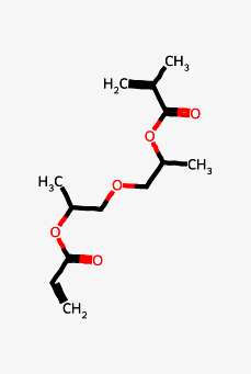 C=CC(=O)OC(C)COCC(C)OC(=O)C(=C)C